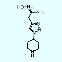 N/C(Cc1cn(C2CCNCC2)nn1)=N/O